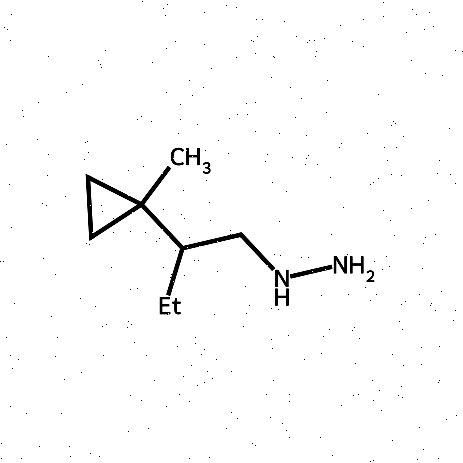 CCC(CNN)C1(C)CC1